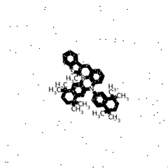 CC1(C)CCC(C)(C)c2cc(N3c4cc5c(cc4B4c6c(cccc63)CC3c6ccccc6S[C@@]43C)C(C)(C)CCC5(C)C)ccc21